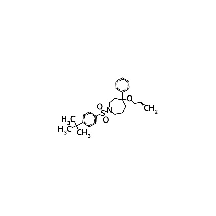 C=CCOC1(c2ccccc2)CCCN(S(=O)(=O)c2ccc(C(C)(C)C)cc2)CC1